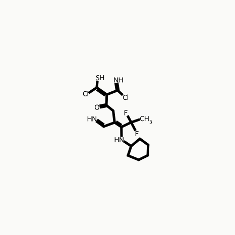 CC(F)(F)/C(NC1CCCCC1)=C(/C=N)CC(=O)/C(C(=N)Cl)=C(/S)Cl